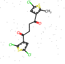 Cc1sc(Cl)cc1C(=O)CCC(=O)c1cc(Cl)sc1Cl